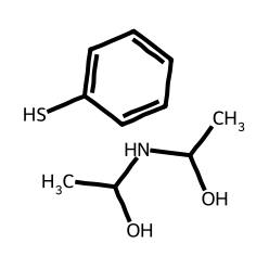 CC(O)NC(C)O.Sc1ccccc1